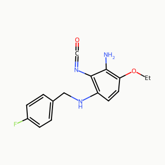 CCOc1ccc(NCc2ccc(F)cc2)c(N=C=O)c1N